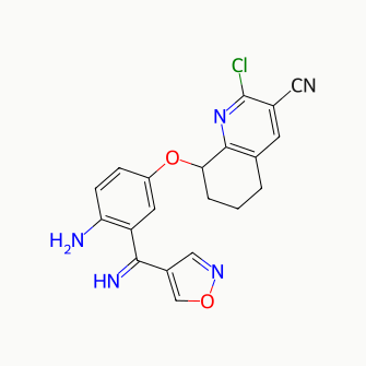 N#Cc1cc2c(nc1Cl)C(Oc1ccc(N)c(C(=N)c3cnoc3)c1)CCC2